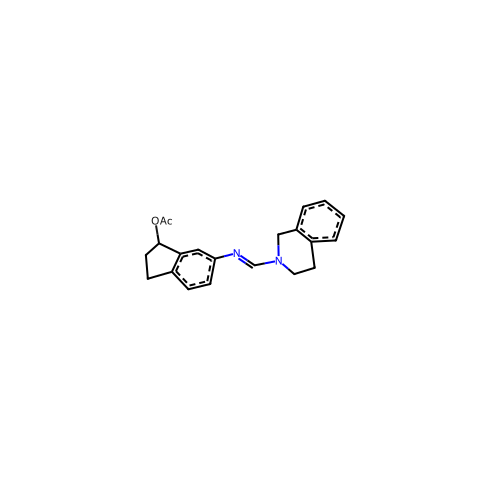 CC(=O)OC1CCc2ccc(N=CN3CCc4ccccc4C3)cc21